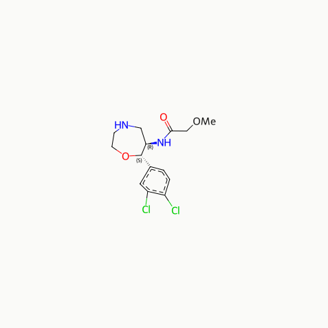 COCC(=O)N[C@@H]1CNCCO[C@H]1c1ccc(Cl)c(Cl)c1